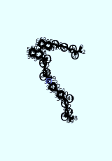 C=C(C)C(=O)OCCOCCOc1ccc2c(-c3cc(C(=O)OCCOC(=O)/C(C)=C/c4ccc(-c5ccc(C(=O)OCCOC(=O)C(=C)C)cc5)cc4)cc4ccccc34)cccc2c1